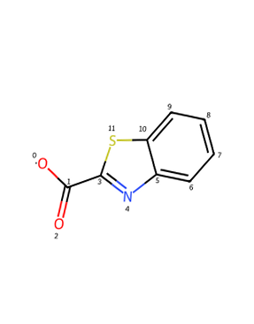 [O]C(=O)c1nc2ccccc2s1